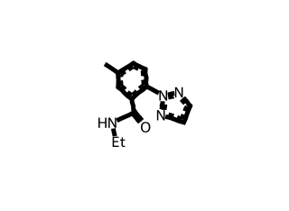 CCNC(=O)c1cc(C)ccc1-n1nccn1